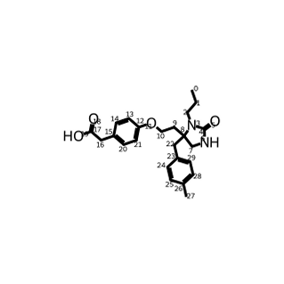 CCCN1C(=O)NCC1(CCOc1ccc(CC(=O)O)cc1)Cc1ccc(C)cc1